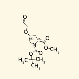 COC(=O)[C@@H]1C[C@H](OCC=O)CN1C(=O)OC(C)(C)C